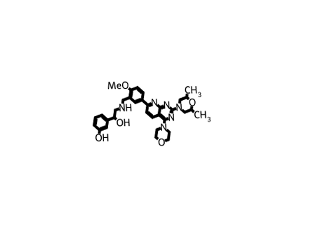 COc1ccc(-c2ccc3c(N4CCOCC4)nc(N4CC(C)OC(C)C4)nc3n2)cc1CNCC(O)c1cccc(O)c1